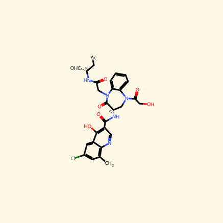 CC(=O)C[C@@H](C=O)NC(=O)CN1C(=O)[C@@H](NC(=O)c2cnc3c(C)cc(Cl)cc3c2O)CN(C(=O)CO)c2ccccc21